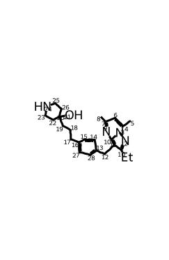 CCc1nn2c(C)cc(C)nc2c1Cc1ccc(CCCC2(O)CCNCC2)cc1